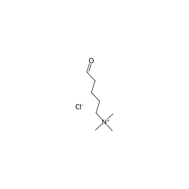 C[N+](C)(C)CCCCC=O.[Cl-]